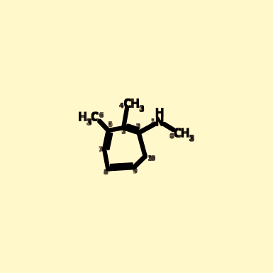 CNC1=C(C)C(C)=CC=CC1